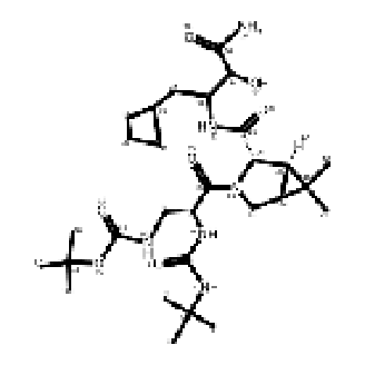 CC(C)(C)NC(=O)N[C@@H](CNC(=O)OC(C)(C)C)C(=O)N1CC2[C@@H]([C@H]1C(=O)NC(CC1CCC1)C(O)C(N)=O)C2(C)C